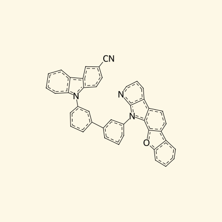 N#Cc1ccc2c(c1)c1ccccc1n2-c1cccc(-c2cccc(-n3c4ncccc4c4ccc5c6ccccc6oc5c43)c2)c1